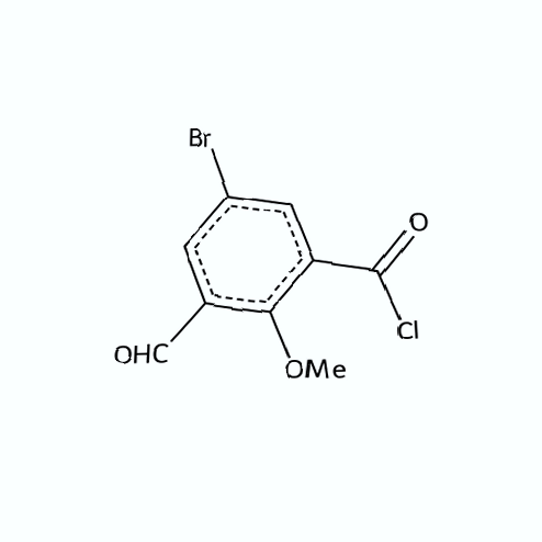 COc1c(C=O)cc(Br)cc1C(=O)Cl